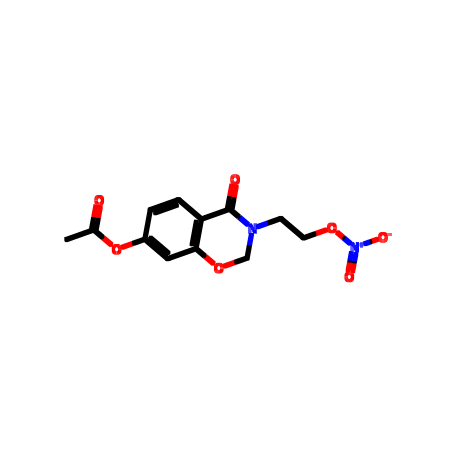 CC(=O)Oc1ccc2c(c1)OCN(CCO[N+](=O)[O-])C2=O